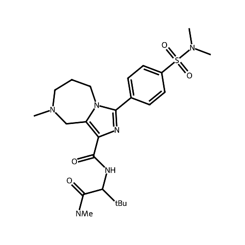 CNC(=O)C(NC(=O)c1nc(-c2ccc(S(=O)(=O)N(C)C)cc2)n2c1CN(C)CCC2)C(C)(C)C